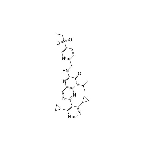 CCS(=O)(=O)c1ccc(CNc2nc3cnc(-c4c(C5CC5)ncnc4C4CC4)nc3n(C(C)C)c2=O)nc1